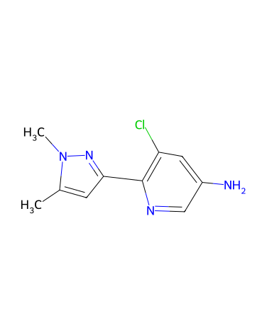 Cc1cc(-c2ncc(N)cc2Cl)nn1C